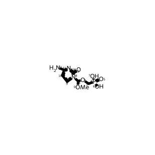 COC(OCP(=O)(O)O)n1ccc(N)nc1=O